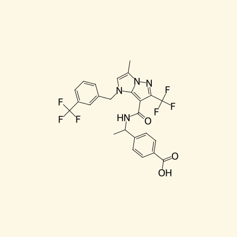 Cc1cn(Cc2cccc(C(F)(F)F)c2)c2c(C(=O)NC(C)c3ccc(C(=O)O)cc3)c(C(F)(F)F)nn12